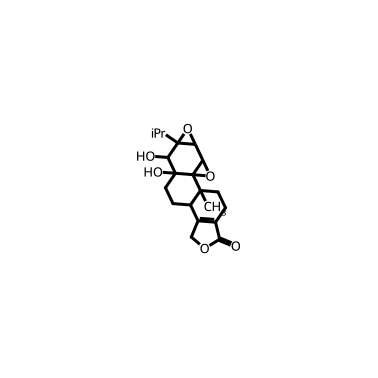 CC(C)C12OC1C1OC13C1(C)CCC4=C(COC4=O)C1CCC3(O)C2O